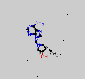 C=C[C@H]1CN(Cn2cnc3c(N)ncnc32)C[C@@H]1O